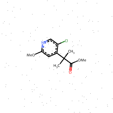 COC(=O)C(C)(C)c1cc(OC)ncc1Cl